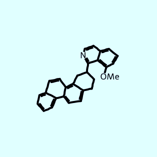 COc1cccc2ccnc(C3CCc4ccc5c(ccc6ccccc65)c4C3)c12